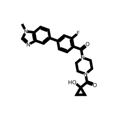 Cn1cnc2cc(-c3ccc(C(=O)N4CCN(C(=O)C5(O)CC5)CC4)c(F)c3)ccc21